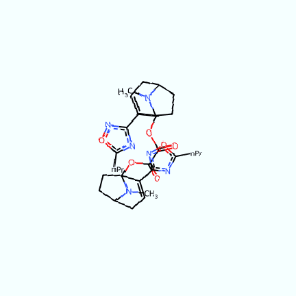 CCCc1nc(C2=CCC3CCC2(OC(=O)C(=O)OC24CCC(CC=C2c2noc(CCC)n2)N4C)N3C)no1